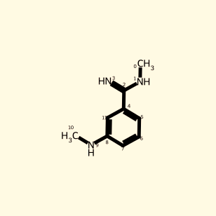 CNC(=N)c1cccc(NC)c1